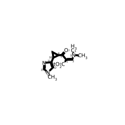 CCOC(=O)/C(=C/N(C)C)C(=O)C1CC1c1cn(C)cn1